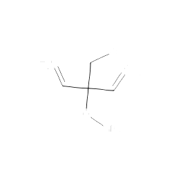 C=CC(C=C)(CO)OCCCC